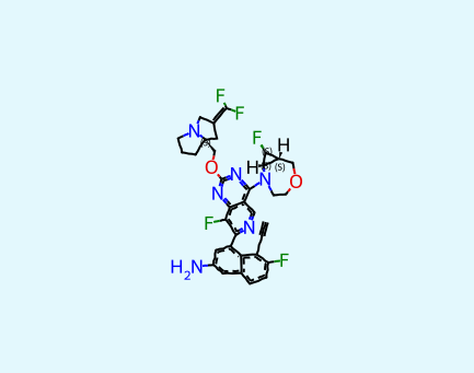 C#Cc1c(F)ccc2cc(N)cc(-c3ncc4c(N5CCOC[C@H]6[C@H](F)[C@H]65)nc(OC[C@@]56CCCN5CC(=C(F)F)C6)nc4c3F)c12